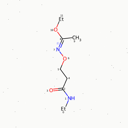 CCNC(=O)CCO/N=C(\C)OCC